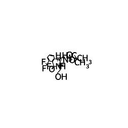 CC(C)(C)OC(=O)N1C[C@@H]2c3cccc(C(F)(F)F)c3C(=O)N(CCO)[C@H]2C1